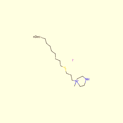 CCCCCCCCCCCCCCCCCCSCCC[N+]1(C)CCNCC1.[I-]